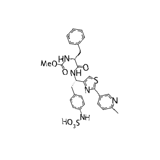 COC(=O)N[C@@H](Cc1ccccc1)C(=O)N[C@@H](Cc1ccc(NS(=O)(=O)O)cc1)c1csc(-c2ccc(C)nc2)n1